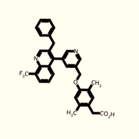 Cc1cc(OCc2cncc(-c3c(Cc4ccccc4)cnc4c(C(F)(F)F)cccc34)c2)c(C)cc1CC(=O)O